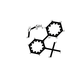 CC(C)(C)c1ccccc1-c1ccccc1.CO[SiH3]